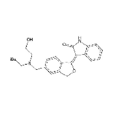 CCC(C)CN(CCO)Cc1ccc2c(c1)CO/C2=C1/C(=O)Nc2ccccc21